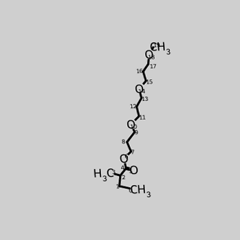 CCC(C)C(=O)OCCCOCCCOCCCOC